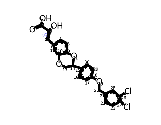 O=C(O)/C(O)=C/c1ccc2c(c1)OCC(c1ccc(OCc3ccc(Cl)c(Cl)c3)cc1)O2